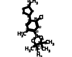 Cc1cc(C2CCC(C)C2)c(Cl)cc1B1OC(C)(C)C(C)(C)O1